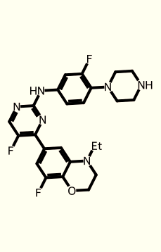 CCN1CCOc2c(F)cc(-c3nc(Nc4ccc(N5CCNCC5)c(F)c4)ncc3F)cc21